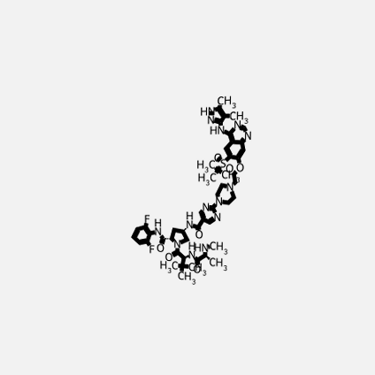 CN[C@@H](C)C(=O)N[C@H](C(=O)N1C[C@@H](NC(=O)c2cnc(N3CCN(CCOc4cc5ncnc(Nc6n[nH]c(C)c6C)c5cc4S(=O)(=O)C(C)(C)C)CC3)nc2)C[C@H]1C(=O)Nc1c(F)cccc1F)C(C)(C)C